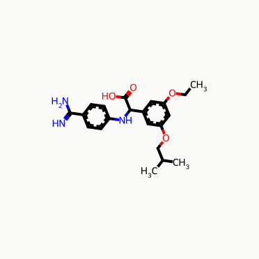 CCOc1cc(OCC(C)C)cc(C(Nc2ccc(C(=N)N)cc2)C(=O)O)c1